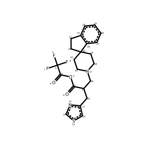 O=C(OC(=O)C(F)(F)F)C(Cc1cscn1)CN1CCC2(CCc3ccccc32)CC1